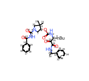 CCCC[C@H](NC(=O)O[C@@H]1CN(C(=O)NC(=O)c2ccccc2)CC1(C)C)C(=O)C(=O)N[C@H](C)c1ccccc1